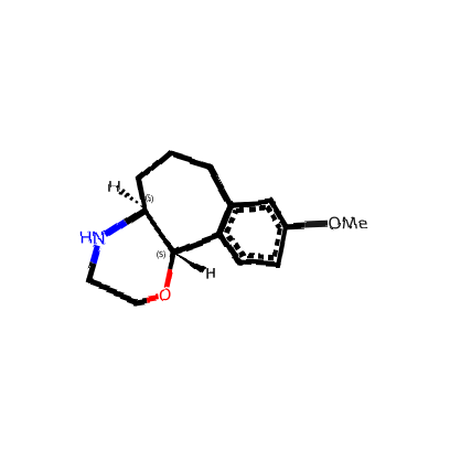 COc1ccc2c(c1)CCC[C@@H]1NCCO[C@@H]21